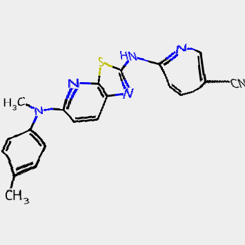 Cc1ccc(N(C)c2ccc3nc(Nc4ccc(C#N)cn4)sc3n2)cc1